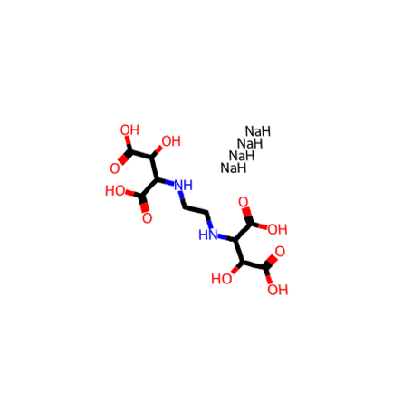 O=C(O)C(O)C(NCCNC(C(=O)O)C(O)C(=O)O)C(=O)O.[NaH].[NaH].[NaH].[NaH]